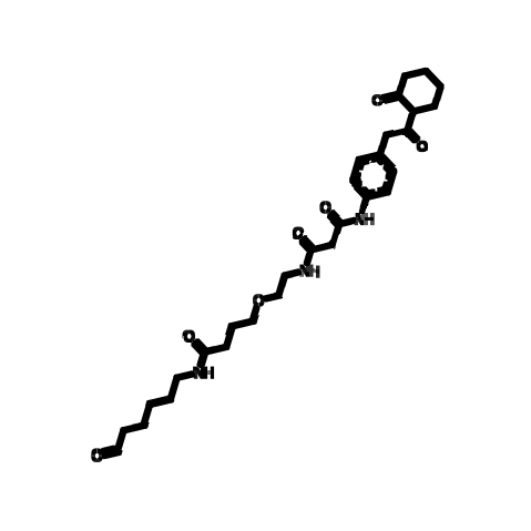 O=CCCCCCNC(=O)CCCOCCNC(=O)CC(=O)Nc1ccc(CC(=O)C2CCCCC2=O)cc1